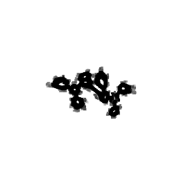 c1ccc(-c2cc(-c3ccccc3)cc(-c3cc(-c4ccc(-c5nc(-c6ccccc6)nc(-c6ccccc6)n5)cc4-c4ccccc4)cc4ccccc34)c2)cc1